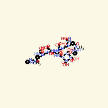 CN(Cc1nc2ccccc2[nH]1)C(=O)c1ccc2c(c1)CN(CCCNC(=O)[C@H](CCC(=O)O)NC(=O)[C@H](CCC(=O)N[C@@H](CCC(=O)O)C(=O)NCCCN1Cc3cc(C(=O)N(C)Cc4nc5ccccc5[nH]4)ccc3N[C@H](CC(=O)O)C1=O)NC(=O)CN1CCN(CC(=O)O)CCN(CC(=O)O)CCN(CC(=O)O)CC1)C(=O)[C@H](CC(=O)O)N2